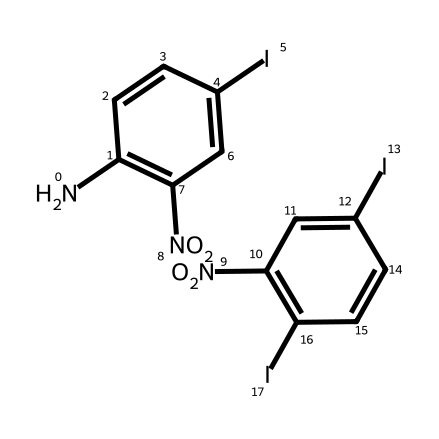 Nc1ccc(I)cc1[N+](=O)[O-].O=[N+]([O-])c1cc(I)ccc1I